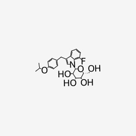 CC(C)Oc1ccc(Cc2cn([C@@H]3O[C@H](CO)[C@@H](O)[C@H](O)[C@H]3O)c3c(F)cccc23)cc1